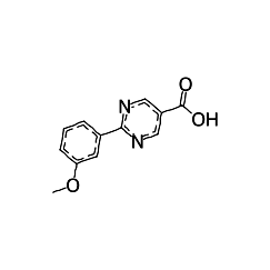 COc1cccc(-c2ncc(C(=O)O)cn2)c1